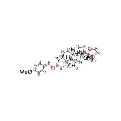 COc1ccc(CO[C@H]2CC[C@@]3(C)C(=CC[C@H]4[C@@H]5CC[C@H](C6(C)OCCO6)[C@@]5(C)CC[C@@H]43)C2)cc1